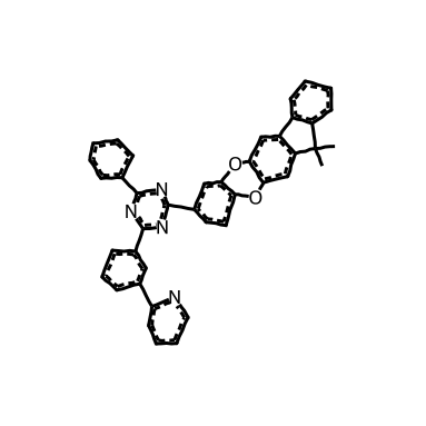 CC1(C)c2ccccc2-c2cc3c(cc21)Oc1ccc(-c2nc(-c4ccccc4)nc(-c4cccc(-c5ccccn5)c4)n2)cc1O3